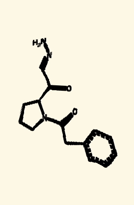 NN=CC(=O)[C@@H]1CCCN1C(=O)Cc1ccccc1